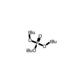 CC(C)COP(=O)(OC(C)(C)C)OC(C)(C)C